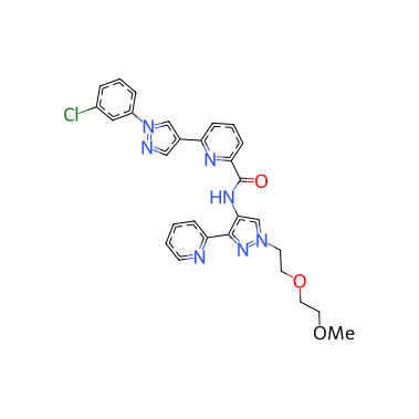 COCCOCCn1cc(NC(=O)c2cccc(-c3cnn(-c4cccc(Cl)c4)c3)n2)c(-c2ccccn2)n1